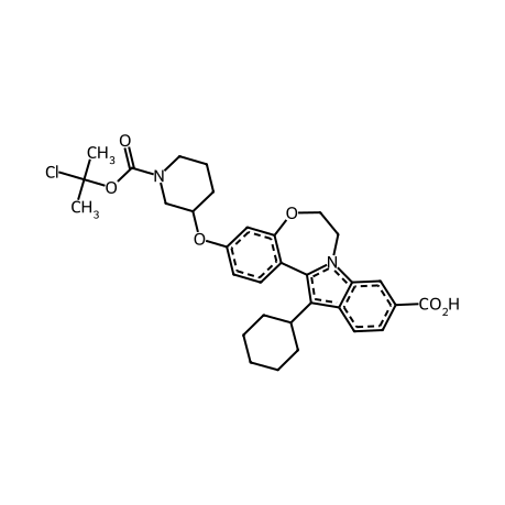 CC(C)(Cl)OC(=O)N1CCCC(Oc2ccc3c(c2)OCCn2c-3c(C3CCCCC3)c3ccc(C(=O)O)cc32)C1